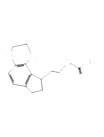 CCCC(=O)NCCC1CCc2ccc3c(c21)OCCO3